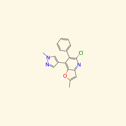 Cc1cc2nc(Cl)c(-c3ccccc3)c(-c3cnn(C)c3)c2o1